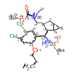 C=CCOc1cc(Cl)c(Cl)cc1C(N[S+]([O-])C(C)(C)C)C1C(CN(I)C(=O)OC(C)(C)C)CC2CC21